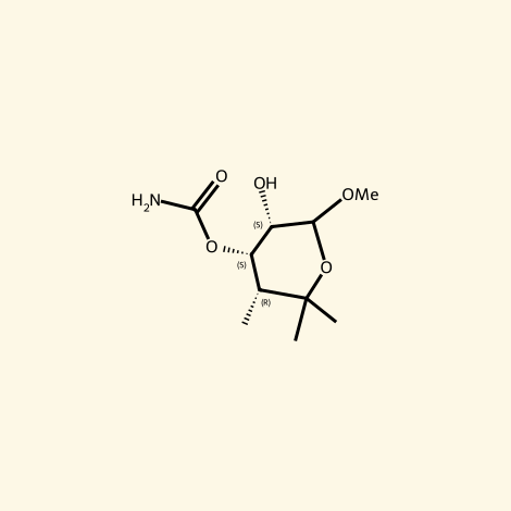 COC1OC(C)(C)[C@H](C)[C@H](OC(N)=O)[C@@H]1O